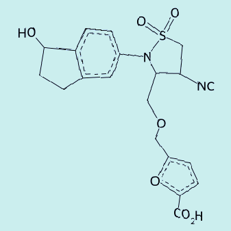 [C-]#[N+]C1CS(=O)(=O)N(c2ccc3c(c2)CCC3O)C1COCc1ccc(C(=O)O)o1